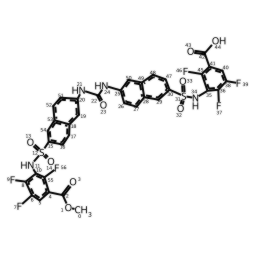 COC(=O)c1cc(F)c(F)c(NS(=O)(=O)c2ccc3cc(NC(=O)Nc4ccc5cc(S(=O)(=O)Nc6c(F)c(F)cc(C(=O)O)c6F)ccc5c4)ccc3c2)c1F